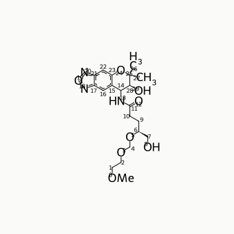 COCCOCO[C@H](CO)CCC(=O)NC1c2cc3nonc3cc2OC(C)(C)C1O